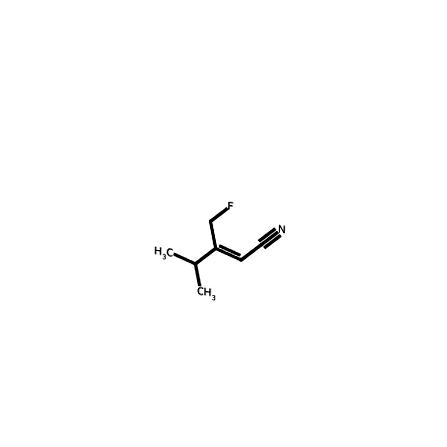 CC(C)C(=CC#N)CF